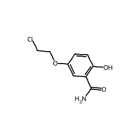 NC(=O)c1cc(OCCCl)ccc1O